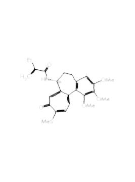 C=C(CC)C(=O)N[C@H]1CCc2cc(OC)c(OC)c(OC)c2-c2ccc(SC)c(=O)cc21